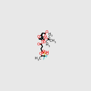 CC(OC(=O)CCC(=O)OC1C2OC(=O)C3C2OC1C3C(=O)OC(C)(C)C)C(F)(F)S(=O)(=O)O